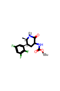 CCN1C(=O)C(NC(=O)OC(C)(C)C)C[C@@H](c2cc(F)cc(F)c2F)[C@H]1C